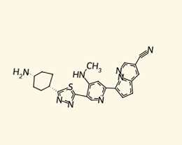 CNc1cc(-c2ccc3cc(C#N)cnn23)ncc1-c1nnc([C@H]2CC[C@@H](N)CC2)s1